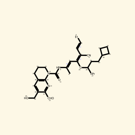 CC/C=C/C(C#N)=C(\C=C(/C)NC(=O)N1CCCc2cc(CO)c(C=O)nc21)OC(CCC)CCC1CCC1